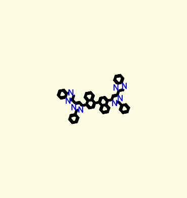 c1ccc(-c2nc(-c3cnc4ccccc4n3)cc(-c3ccc(-c4ccc(-c5cc(-c6cnc7ccccc7n6)nc(-c6ccccc6)n5)c5ccccc45)c4ccccc34)n2)cc1